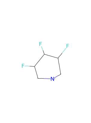 FC1C[N]CC(F)C1F